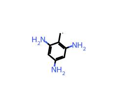 [CH2]c1c(N)cc(N)cc1N